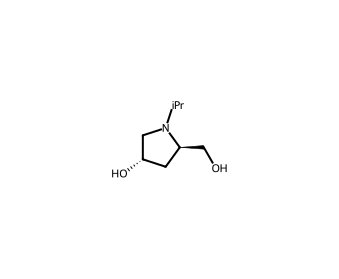 CC(C)N1C[C@@H](O)C[C@@H]1CO